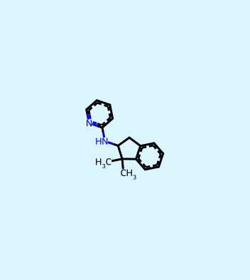 CC1(C)c2ccccc2CC1Nc1ccccn1